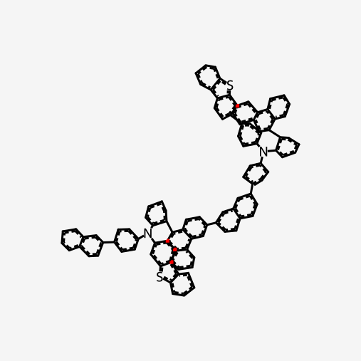 c1ccc(N(c2ccc(-c3ccc4ccc(-c5ccc6c(-c7ccccc7N(c7ccc(-c8ccc9ccccc9c8)cc7)c7ccc8c(c7)sc7ccccc78)cc7ccccc7c6c5)cc4c3)cc2)c2ccc(-c3ccc4c(c3)sc3ccccc34)cc2)c(-c2cc3ccccc3c3ccccc23)c1